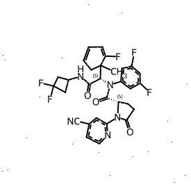 CC1([C@@H](C(=O)NC2CC(F)(F)C2)N(C(=O)[C@@H]2CCC(=O)N2c2cc(C#N)ccn2)c2cc(F)cc(F)c2)CC=CC=C1F